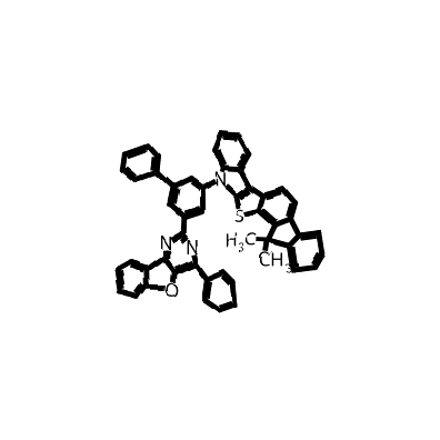 CC1(C)c2ccccc2-c2ccc3c(sc4c3c3ccccc3n4-c3cc(-c4ccccc4)cc(-c4nc(-c5ccccc5)c5oc6ccccc6c5n4)c3)c21